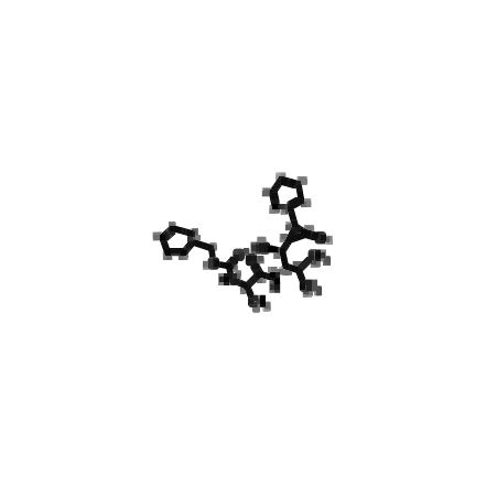 CC(NC(=O)OCc1ccccc1)C(=O)N[C@@H](C(C)C)[C@@H](O)c1c(-c2ccccc2)c1=O